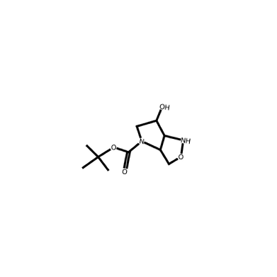 CC(C)(C)OC(=O)N1CC(O)C2NOCC21